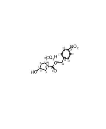 O=C(O)[C@H]1C[C@H](O)CN1C(=O)OCc1ccc([N+](=O)[O-])cc1